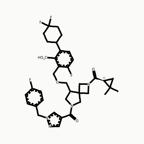 CC1(C)C[C@@H]1C(=O)N1CC2(CN(C(=O)c3cnn(Cc4ccc(F)cc4)c3)CC2COCc2c(F)ccc(C3CCC(F)(F)CC3)c2C(=O)O)C1